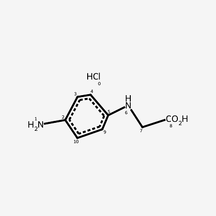 Cl.Nc1ccc(NCC(=O)O)cc1